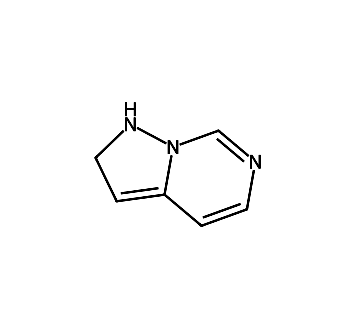 C1=CC2=CCNN2C=N1